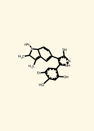 CCCN1C(C)C(C)=C2C=C(c3c(S)n[nH]c3-c3cc(CC)c(O)cc3O)C=CC21